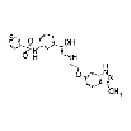 Cc1n[nH]c2cc(OCCNCC(O)c3cccc(NS(=O)(=O)c4ccsc4)c3)ccc12